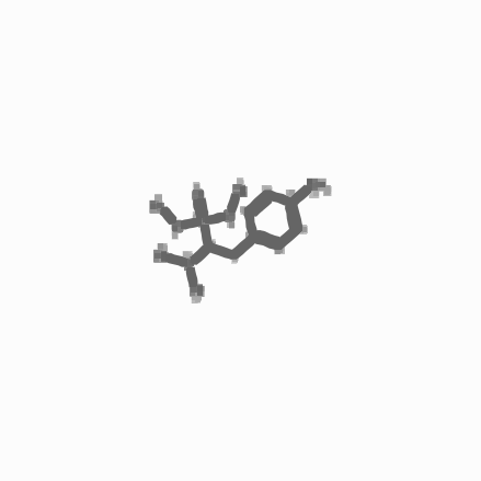 CCOP(=O)(OCC)C(Cc1ccc(N)cc1)P(CC)CC